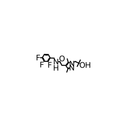 Cc1nn(CC(C)(C)O)c(C)c1CC(=O)NCc1ccc(F)c(F)c1F